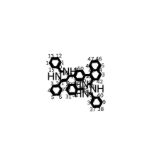 C1=C(c2ccccc2)NC(c2ccccc2)NC1c1ccc(-c2c(C3NC(c4ccccc4)NC(c4ccccc4)N3)ccc3ccccc23)cc1